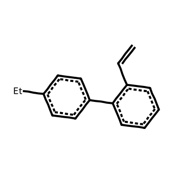 C=Cc1ccccc1-c1ccc(CC)cc1